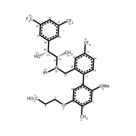 COc1cc(C)c(OCCC(=O)O)cc1-c1ccc(C(F)(F)F)cc1CN(C(C)C)[C@@H](C)[C@H](O)c1cc(C(F)(F)F)cc(C(F)(F)F)c1